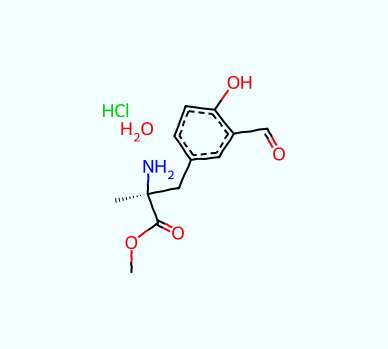 COC(=O)[C@@](C)(N)Cc1ccc(O)c(C=O)c1.Cl.O